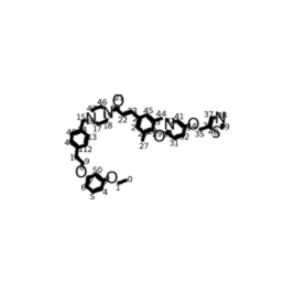 CCOc1cccc(OCCc2ccc(CN3CCN(C(=O)C=Cc4cc(C)c(Oc5ccc(OCc6cncs6)cn5)c(C)c4)CC3)cc2)c1